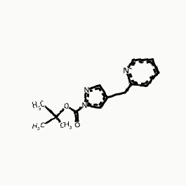 CC(C)(C)OC(=O)n1cc(Cc2ccccn2)cn1